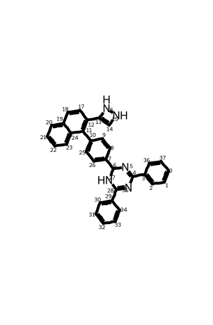 c1ccc(C2=NC(c3ccc(-c4c(-c5c[nH][nH]5)ccc5ccccc45)cc3)NC(c3ccccc3)=N2)cc1